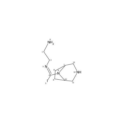 NCC/N=C(/I)N1C2CCC1CNC2